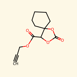 C#CCOC(=O)C1OC(=O)OC12CCCCC2